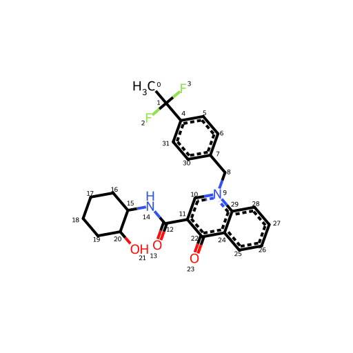 CC(F)(F)c1ccc(Cn2cc(C(=O)NC3CCCCC3O)c(=O)c3ccccc32)cc1